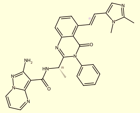 Cc1ncc(/C=C/c2cccc3nc([C@H](C)NC(=O)c4c(N)nn5cccnc45)n(-c4ccccc4)c(=O)c23)n1C